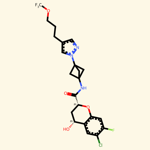 O=C(NC12CC(n3cc(CCCOC(F)(F)F)cn3)(C1)C2)[C@H]1C[C@@H](O)c2cc(Cl)c(F)cc2O1